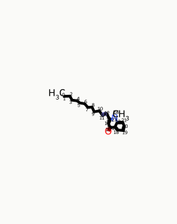 CCCCCCCCCCC/C=C/c1cc(=O)c2ccccc2n1C